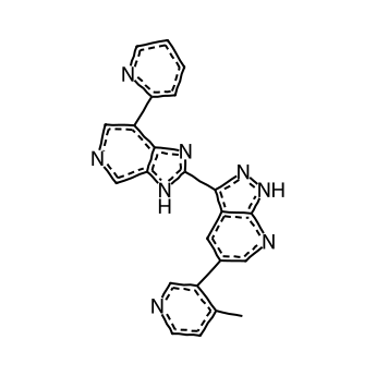 Cc1ccncc1-c1cnc2[nH]nc(-c3nc4c(-c5ccccn5)cncc4[nH]3)c2c1